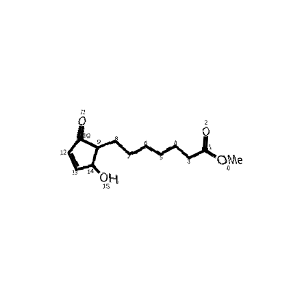 COC(=O)CCCCCCC1C(=O)C=CC1O